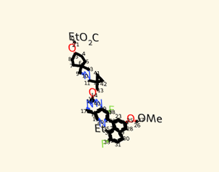 CCOC(=O)COC1CCC2(CC1)CN(CC1(COc3ncc4cnc(-c5cc(OCOC)cc6ccc(F)c(CC)c56)c(F)c4n3)CC1)C2